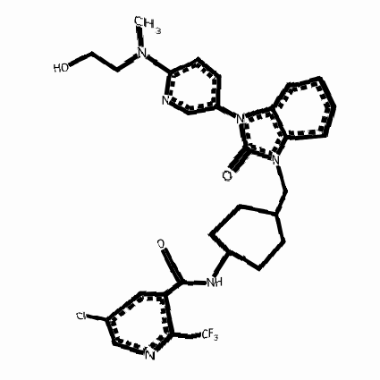 CN(CCO)c1ccc(-n2c(=O)n(CC3CCC(NC(=O)c4cc(Cl)cnc4C(F)(F)F)CC3)c3ccccc32)cn1